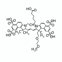 CCN1c2ccc3c(S(=O)(=O)O)cc(S(=O)(=O)O)cc3c2C(C)(C)C1C=CC=C1N(CCCCCC(=O)O)c2ccc3c(S(=O)(=O)O)cc(S(=O)(=O)O)cc3c2C1(C)CCOCCOC